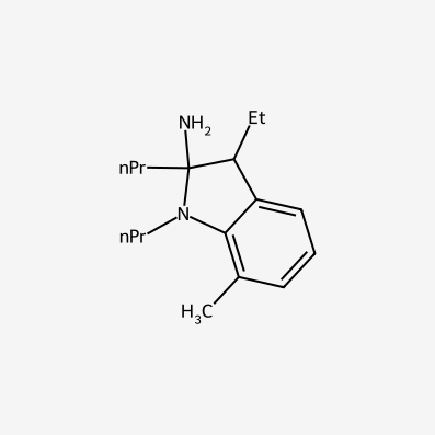 CCCN1c2c(C)cccc2C(CC)C1(N)CCC